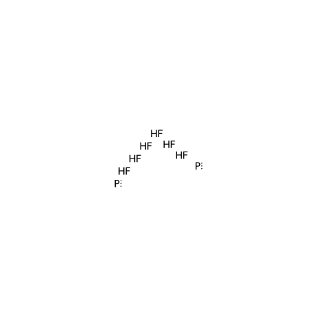 F.F.F.F.F.F.[P].[P]